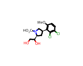 COc1ccc(Cl)c(Cl)c1[C@H]1C[C@@H](C(O)CO)N(C(=O)O)C1